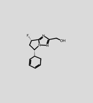 OCc1nc2n(n1)[C@H](C1C=CC=CC1)C[C@@H]2F